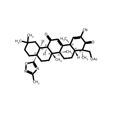 CC(=O)OC[C@]1(C)C(=O)C(C#N)=C[C@]2(C)C3=CC(=O)[C@@H]4[C@@H]5CC(C)(C)CC[C@]5(c5nc(C)no5)CC[C@@]4(C)[C@]3(C)CC[C@H]21